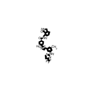 Cc1cc(Nc2nccc(C(F)(F)F)n2)cc(-c2cnc([C@]3(O)CC[C@H](C(=O)NCc4cccc5c4C(=O)NC5)CC3)s2)c1